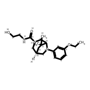 CCOc1cccc(N2C[C@H]3CN(C(=O)NCCO)CC2C(C)(C)C3)c1